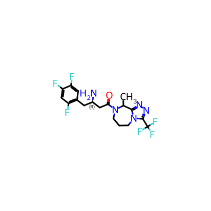 CC1c2nnc(C(F)(F)F)n2CCCN1C(=O)C[C@H](N)Cc1cc(F)c(F)cc1F